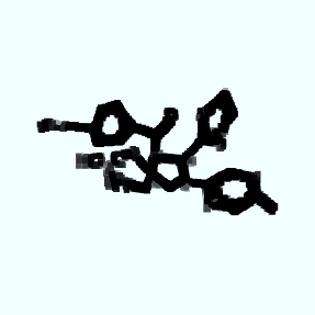 Cc1cnc([C@H]2C[C@](CC(C)C)(OC(=O)O)N(C(=O)c3ccc(C(C)(C)C)cc3)[C@H]2c2nccs2)cn1